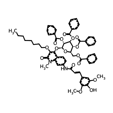 CCCCCCCCOc1c(O[C@@H]2O[C@H](COC(=O)c3ccccc3)[C@@H](OC(=O)c3ccccc3)[C@H](OC(=O)c3ccccc3)[C@H]2OC(=O)c2ccccc2)c2ccc(NC(=O)C=Cc3cc(OC)c(O)c(OC)c3)cc2n(C)c1=O